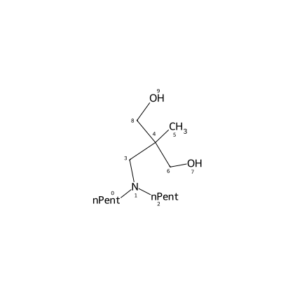 CCCCCN(CCCCC)CC(C)(CO)CO